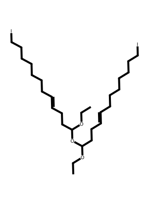 CCOC(CCC=CCCCCCCCI)OC(CCC=CCCCCCCCI)OCC